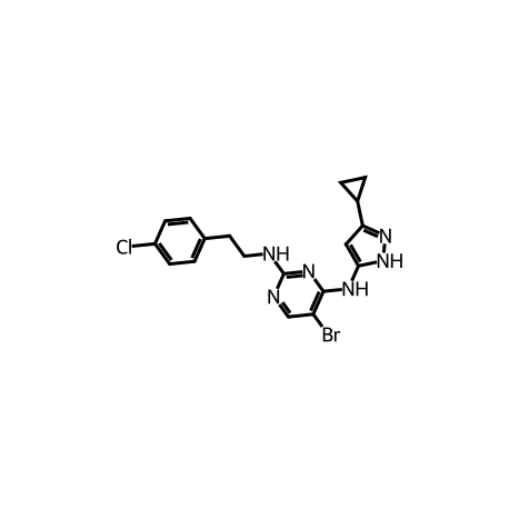 Clc1ccc(CCNc2ncc(Br)c(Nc3cc(C4CC4)n[nH]3)n2)cc1